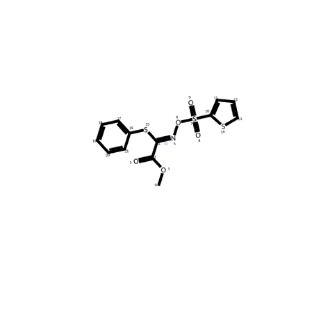 COC(=O)/C(=N/OS(=O)(=O)c1cccs1)Sc1ccccc1